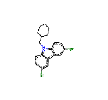 Brc1ccc2c(c1)c1cc(Br)ccc1n2CC1CCCCC1